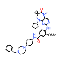 COc1cc(C(=O)NC2CCC(N3CCCN(Cc4ccccc4)CC3)CC2)ccc1Nc1ncc2c(n1)N(C1CCCC1)CC1(CC1)C(=O)N2C